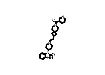 O=C(c1cccnc1)N1CCC2(CC1)CC(CCN1CCC(n3c(=O)[nH]c4ccccc43)CC1)C2